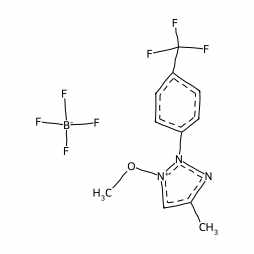 CO[n+]1cc(C)nn1-c1ccc(C(F)(F)F)cc1.F[B-](F)(F)F